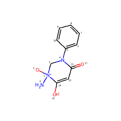 N[N+]1([O-])CN(c2ccccc2)C(=O)C=C1O